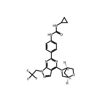 O=C(Nc1ccc(-c2nc(N3C[C@H]4C[C@@H]3CO4)c3cnn(CC(F)(F)F)c3n2)cc1)NC1CC1